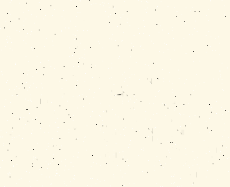 C#C[C@]1(COCc2ccccc2)O[C@@H](n2cnc3nc(NC(=O)C(C)C)[nH]c(=O)c32)C(OC(C)=O)C1OCc1ccccc1